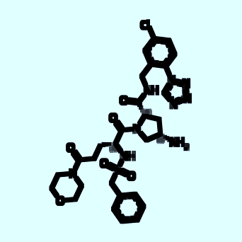 N[C@H]1C[C@@H](C(=O)NCc2cc(Cl)ccc2-n2cnnn2)N(C(=O)[C@@H](CCC(=O)N2CCOCC2)NS(=O)(=O)Cc2ccccc2)C1